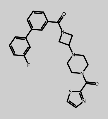 O=C(c1cccc(-c2cccc(F)c2)c1)N1CC(N2CCN(C(=O)c3nccs3)CC2)C1